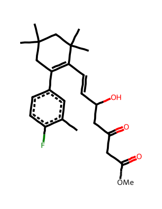 COC(=O)CC(=O)CC(O)C=CC1=C(c2ccc(F)c(C)c2)CC(C)(C)CC1(C)C